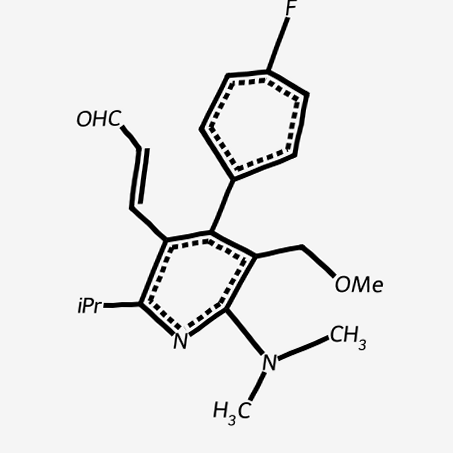 COCc1c(N(C)C)nc(C(C)C)c(C=CC=O)c1-c1ccc(F)cc1